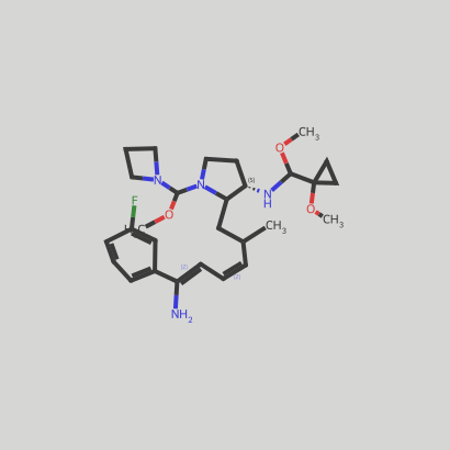 COC(N1CCC1)N1CC[C@H](NC(OC)C2(OC)CC2)C1CC(C)/C=C\C=C(/N)c1cccc(F)c1